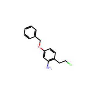 Nc1cc(OCc2ccccc2)ccc1CCCl